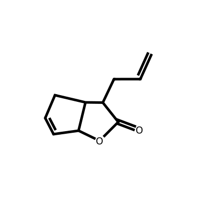 C=CCC1C(=O)OC2C=CCC21